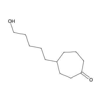 O=C1CCCC(CCCCCO)CC1